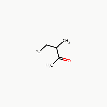 [3H]CC(C)C(C)=O